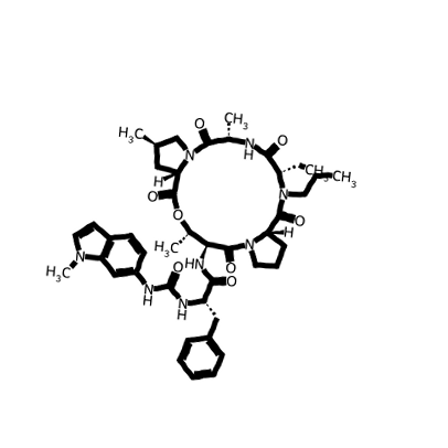 CCCN1C(=O)[C@@H]2CCCN2C(=O)[C@@H](NC(=O)[C@H](Cc2ccccc2)NC(=O)Nc2ccc3ccn(C)c3c2)[C@H](C)OC(=O)[C@@H]2C[C@@H](C)CN2C(=O)[C@H](C)NC(=O)[C@@H]1CC